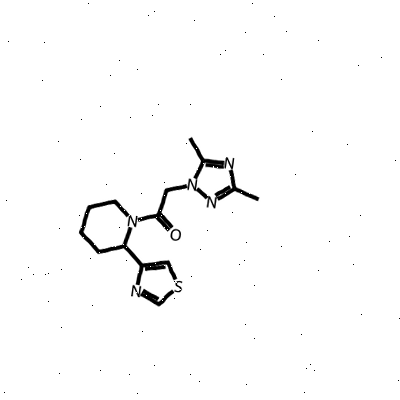 Cc1nc(C)n(CC(=O)N2CCCCC2c2cscn2)n1